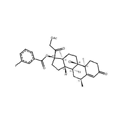 CC(=O)OCC(=O)[C@@]1(OC(=O)c2cccc(I)c2)CC[C@H]2[C@@H]3C[C@H](C)C4=CC(=O)CC[C@]4(C)[C@@]3(Cl)CC[C@@]21C